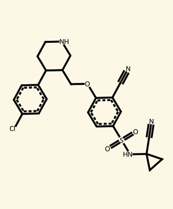 N#Cc1cc(S(=O)(=O)NC2(C#N)CC2)ccc1OCC1CNCCC1c1ccc(Cl)cc1